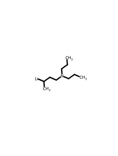 [Li][CH](C)CCN(CCC)CCC